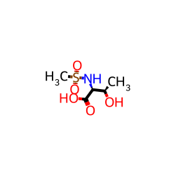 C[C@@H](O)[C@H](NS(C)(=O)=O)C(=O)O